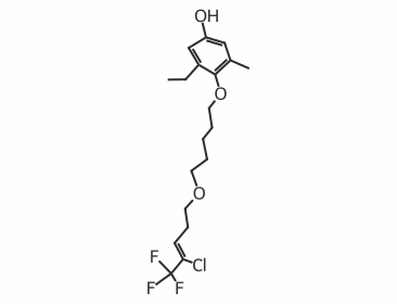 CCc1cc(O)cc(C)c1OCCCCCOCCC=C(Cl)C(F)(F)F